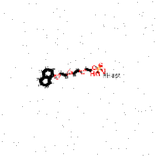 CCCCCCCOP(=O)(O)OCCOCCOCCOc1cccc2ccccc12